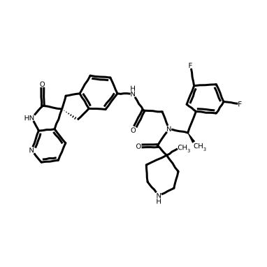 C[C@H](c1cc(F)cc(F)c1)N(CC(=O)Nc1ccc2c(c1)C[C@@]1(C2)C(=O)Nc2ncccc21)C(=O)C1(C)CCNCC1